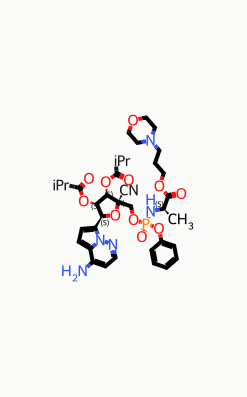 CC(C)C(=O)O[C@H]1[C@H](c2ccc3c(N)ccnn23)O[C@](C#N)(COP(=O)(N[C@@H](C)C(=O)OCCCN2CCOCC2)Oc2ccccc2)[C@H]1OC(=O)C(C)C